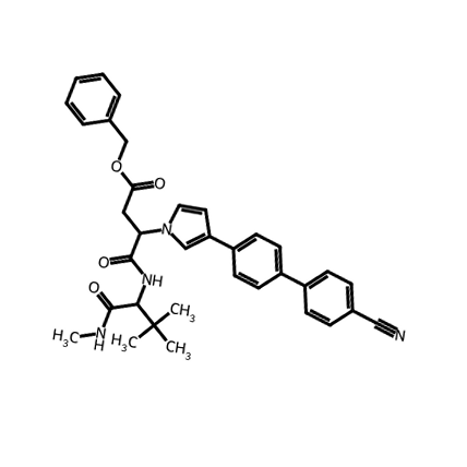 CNC(=O)C(NC(=O)C(CC(=O)OCc1ccccc1)n1ccc(-c2ccc(-c3ccc(C#N)cc3)cc2)c1)C(C)(C)C